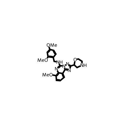 COc1ccc(CNc2nc3c(OC)cccc3c3nc(C4CNCCO4)nn23)c(OC)c1